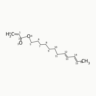 C=CC(=O)OCCCCCCCC=CC=CC